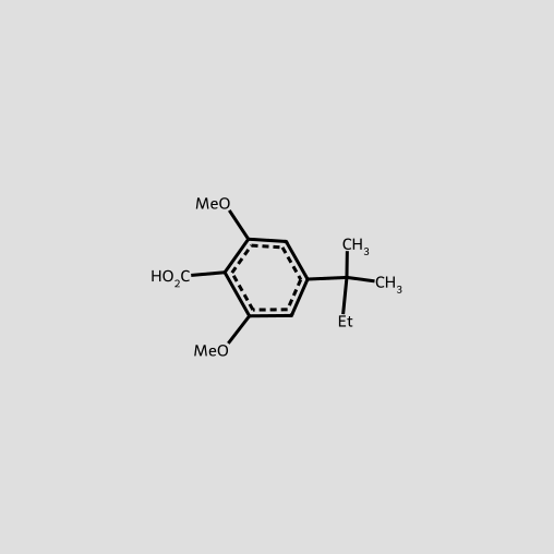 CCC(C)(C)c1cc(OC)c(C(=O)O)c(OC)c1